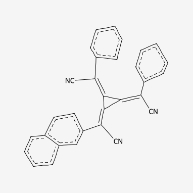 N#CC(=C1C(=C(/C#N)c2ccccc2)/C1=C(/C#N)c1ccc2ccccc2c1)c1ccccc1